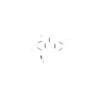 COc1cc(F)c(C(=O)c2cccc(F)c2)cc1C#N